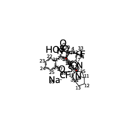 O=S(O)c1cc(F)c2nc(N3C4CCC3CC(OCc3c(-c5ccccc5OC(F)(F)F)noc3C3CC3)C4)sc2c1.[Na]